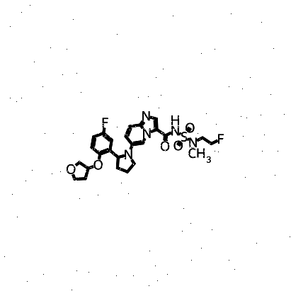 CN(CCF)S(=O)(=O)NC(=O)c1cnc2ccc(N3CCCC3c3cc(F)ccc3OC3CCOC3)cn12